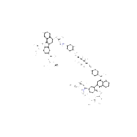 CCCCC(CC)Cn1c2ccc(C(=O)CC(C)CC(C)(C)C)cc2c2cc(CC(=O)O/N=C/c3ccc(OCC(F)(F)C(F)(F)C(F)(F)C(F)(F)COc4ccc(C(=O)c5cc6c7cc(/C(CC(C)CC(C)(C)C)=N\O)ccc7n(CC(CC)CCCC)c6c6ccccc56)cc4)cc3)c3ccccc3c21